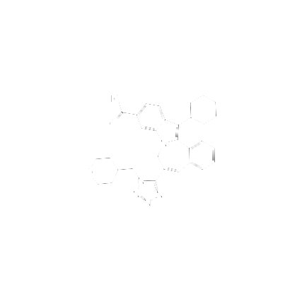 O=C(O)c1ccc2c(C3CCCCC3)c3n(c2c1)CC(c1nnnn1CC1CCOCC1)=Cc1ccccc1-3